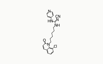 N#CN=C(NCCCCCCn1c(=O)ccc2cccc(Cl)c21)Nc1ccncc1